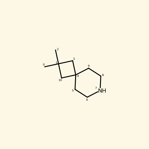 CC1(C)CC2(CCNCC2)C1